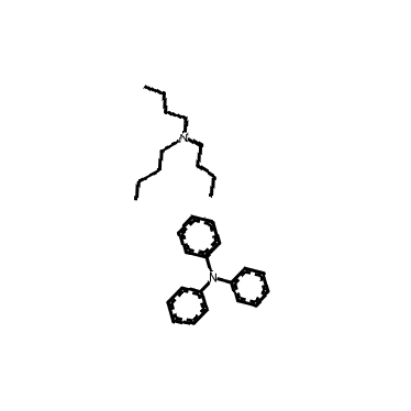 CCCCN(CCCC)CCCC.c1ccc(N(c2ccccc2)c2ccccc2)cc1